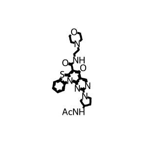 CC(=O)NC1CCN(c2ncc3c(=O)c(C(=O)NCCN4CCOCC4)c4sc5ccccc5n4c3n2)C1